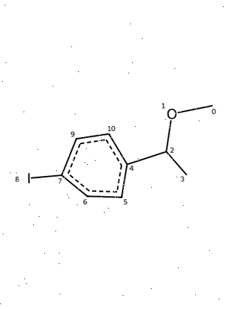 COC(C)c1ccc(I)cc1